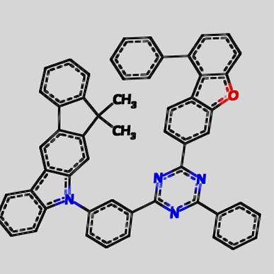 CC1(C)c2ccccc2-c2cc3c4ccccc4n(-c4cccc(-c5nc(-c6ccccc6)nc(-c6ccc7c(c6)oc6cccc(-c8ccccc8)c67)n5)c4)c3cc21